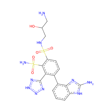 NCC(O)CNS(=O)(=O)c1ccc(-c2cccc3[nH]c(N)nc23)c(-c2nn[nH]n2)c1S(N)(=O)=O